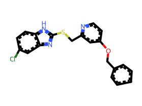 Clc1ccc2[nH]c(SCc3cc(OCc4ccccc4)ccn3)nc2c1